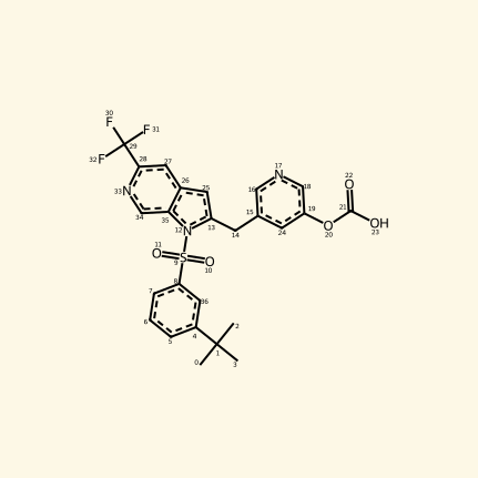 CC(C)(C)c1cccc(S(=O)(=O)n2c(Cc3cncc(OC(=O)O)c3)cc3cc(C(F)(F)F)ncc32)c1